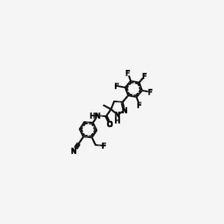 CC1(C(=O)Nc2ccc(C#N)c(CF)c2)CC(c2c(F)c(F)c(F)c(F)c2F)=NN1